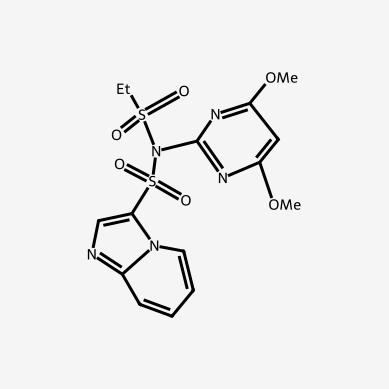 CCS(=O)(=O)N(c1nc(OC)cc(OC)n1)S(=O)(=O)c1cnc2ccccn12